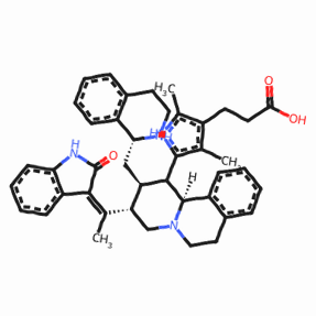 CC(=C1C(=O)Nc2ccccc21)[C@H]1CN2CCc3ccccc3[C@@H]2C(c2[nH]c(C)c(CCC(=O)O)c2C)[C@@H]1C[C@H]1NCCc2ccccc21